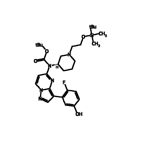 CC(C)(C)OC(=O)N(c1ccn2ncc(-c3cc(O)ccc3F)c2n1)[C@H]1CCCN(CCO[Si](C)(C)C(C)(C)C)C1